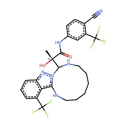 C[C@@](O)(C(=O)Nc1ccc(C#N)c(C(F)(F)F)c1)C1NCCCCCCNc2c3c(C(F)(F)F)cccc3nn21